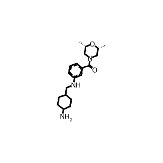 C[C@@H]1CN(C(=O)c2cccc(NCC3CCC(N)CC3)c2)C[C@H](C)O1